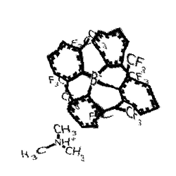 C[NH+](C)C.FC(F)(F)c1cccc(C(F)(F)F)c1[B-](c1c(C(F)(F)F)cccc1C(F)(F)F)(c1c(C(F)(F)F)cccc1C(F)(F)F)c1c(C(F)(F)F)cccc1C(F)(F)F